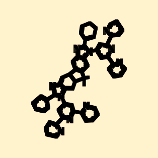 CC1(C)c2cc3c(cc2C2C=c4nc(-c5ccccc5)n(-c5cc(-c6ccccn6)nc(-c6ccccn6)c5)c4=CC21)nc(C1=CCCC=C1)n3-c1cc(-c2ccccn2)nc(-c2ccccn2)c1